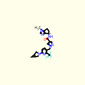 Cn1cnc2c1CC[C@H]2NC(=O)c1cnn(Cc2ccc(N3CC4CC4C3)nc2C(F)(F)F)c1